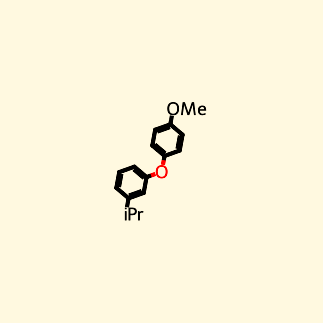 COc1ccc(Oc2cccc(C(C)C)c2)cc1